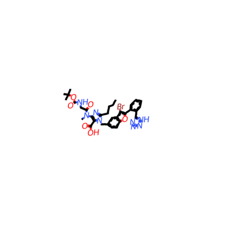 CCCCc1nc(N(C)C(=O)CNC(=O)OC(C)(C)C)c(C(=O)O)n1Cc1ccc2oc(-c3ccccc3-c3nnn[nH]3)c(Br)c2c1